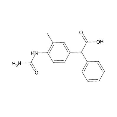 Cc1cc(C(C(=O)O)c2ccccc2)ccc1NC(N)=O